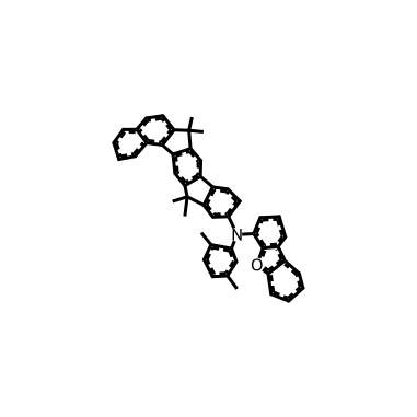 Cc1ccc(C)c(N(c2ccc3c(c2)C(C)(C)c2cc4c(cc2-3)C(C)(C)c2ccc3ccccc3c2-4)c2cccc3c2oc2ccccc23)c1